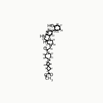 COC(=O)[C@H]1CC2(C1)C[C@H](N1CCN(C(=O)CN3CCN4c5cc(-c6ccccc6O)nnc5NC[C@H]4C3)CC1)C2